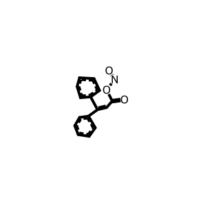 O=NOC(=O)C=C(c1ccccc1)c1ccccc1